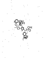 CCC1CN(Cc2cc(C(c3ccc4c(nnn4CC)c3C)C(C)(C)C(=O)O)sc2Cl)S(O)(O)c2cccnc2O1